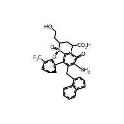 Nc1c(Cc2cccc3ccccc23)c(-c2cccc(C(F)(F)F)c2)c2n(c1=O)C(C(=O)O)CC(CCO)S2(=O)=O